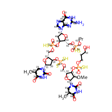 COC1C(OP(=O)(S)OCCCO)[C@@H](COP(=S)(S)OC2C[C@H](n3cc(C)c(=O)[nH]c3=O)O[C@@H]2COP(=O)(S)OC2C[C@H](n3cnc4c(=O)[nH]c(N)nc43)O[C@@H]2COP(=O)(S)OC(C)C)O[C@H]1n1cc(C)c(=O)[nH]c1=O